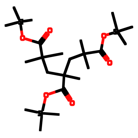 CC(C)(CC(C)(CC(C)(C)C(=O)O[Si](C)(C)C)C(=O)O[Si](C)(C)C)C(=O)O[Si](C)(C)C